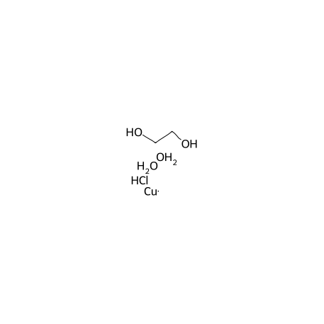 Cl.O.O.OCCO.[Cu]